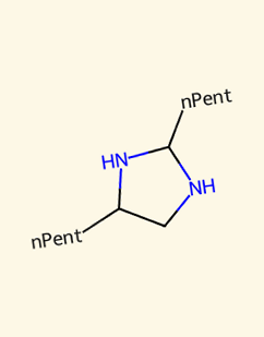 CCCCCC1CNC(CCCCC)N1